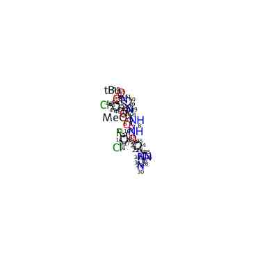 COCC(C)(NC(=O)[C@H](C)NCc1c(F)cc(Cl)cc1Oc1ccc(-c2cnc(CN(C)C)n2C)cc1)C(=O)N(C)[C@@]1(Cc2ccc(Cl)cc2)CCCN(C(=O)OC(C)(C)C)C1